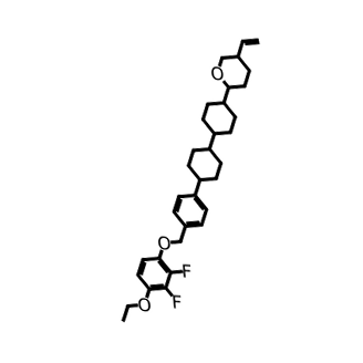 C=CC1CCC(C2CCC(C3CCC(c4ccc(COc5ccc(OCC)c(F)c5F)cc4)CC3)CC2)OC1